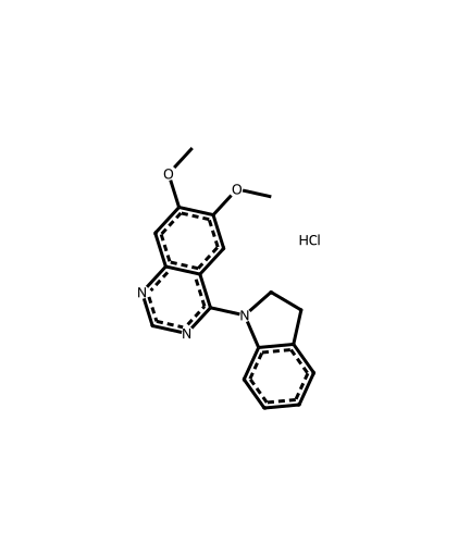 COc1cc2ncnc(N3CCc4ccccc43)c2cc1OC.Cl